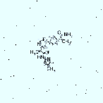 C=C(C(N)=O)c1ccc(-c2ccnc(C(C)C(=O)Nc3ncc(C)s3)c2)cn1